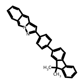 CC1(C)c2ccccc2-c2ccc(-c3ccc(-c4cc5cc6ccccc6cn5n4)cc3)cc21